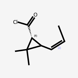 C/C=C\C1[C@@H](C(=O)Cl)C1(C)C